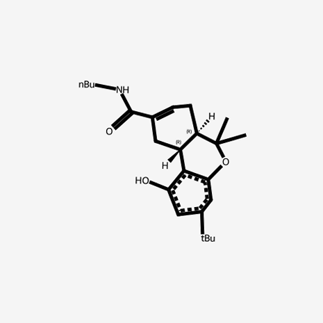 CCCCNC(=O)C1=CC[C@@H]2[C@@H](C1)c1c(O)cc(C(C)(C)C)cc1OC2(C)C